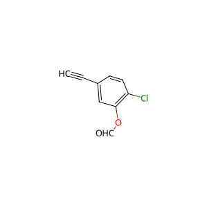 C#Cc1ccc(Cl)c(OC=O)c1